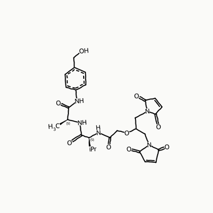 CC(C)[C@H](NC(=O)COC(CN1C(=O)C=CC1=O)CN1C(=O)C=CC1=O)C(=O)N[C@@H](C)C(=O)Nc1ccc(CO)cc1